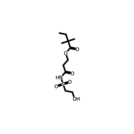 CCC(C)(C)C(=O)OCCC(=O)NS(=O)(=O)CCO